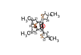 Cc1csc([SiH](O[SiH](c2cc(C)cs2)c2cc(C)cs2)c2cc(C)cs2)c1